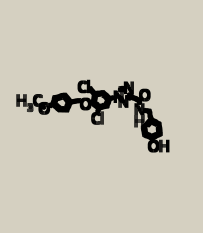 COc1ccc(COc2c(Cl)cc(-n3cnc(C(=O)NCc4ccc(O)cc4)n3)cc2Cl)cc1